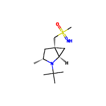 C[C@@H]1C[C@@]2(CS(C)(=N)=O)C[C@H]2N1C(C)(C)C